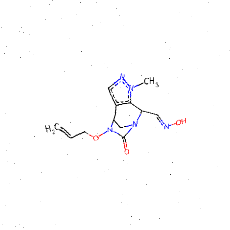 C=CCON1C(=O)N2CC1c1cnn(C)c1C2C=NO